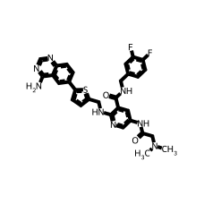 CN(C)CC(=O)Nc1cnc(NCc2ccc(-c3ccc4ncnc(N)c4c3)s2)c(C(=O)NCc2ccc(F)c(F)c2)c1